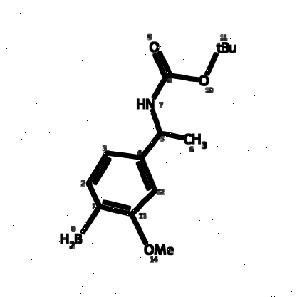 Bc1ccc(C(C)NC(=O)OC(C)(C)C)cc1OC